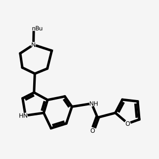 CCCCN1CCC(c2c[nH]c3ccc(NC(=O)c4ccco4)cc23)CC1